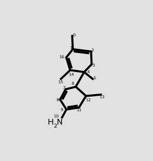 CC1=CCC(C)(C2C=CC(N)=CC2C)C(C)=C1